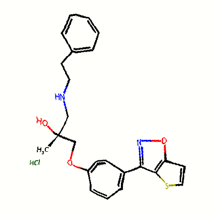 C[C@@](O)(CNCCc1ccccc1)COc1cccc(-c2noc3ccsc23)c1.Cl